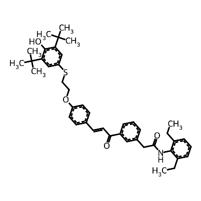 CCc1cccc(CC)c1NC(=O)Cc1cccc(C(=O)C=Cc2ccc(OCCSc3cc(C(C)(C)C)c(O)c(C(C)(C)C)c3)cc2)c1